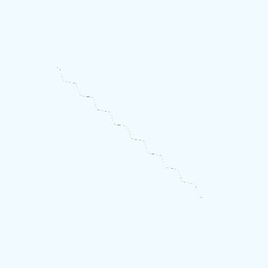 NCCCCCCCCCCCCNCCC[SiH3]